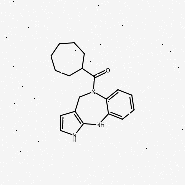 O=C(C1CCCCCC1)N1Cc2cc[nH]c2Nc2ccccc21